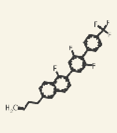 C=CCCc1ccc2c(F)c(-c3cc(F)c(-c4ccc(C(F)(F)F)cc4)c(F)c3)ccc2c1